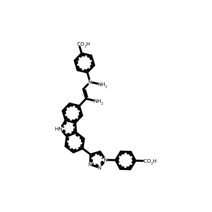 N/C(=C\N(N)c1ccc(C(=O)O)cc1)c1ccc2[nH]c3ccc(-c4cn(-c5ccc(C(=O)O)cc5)nn4)cc3c2c1